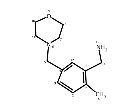 Cc1ccc(CN2CCOCC2)cc1CN